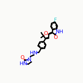 CC1(C)O/C(=C2/C(=O)Nc3cc(F)ccc32)C=C1c1ccc(CNCCN2CCNC2=O)cc1